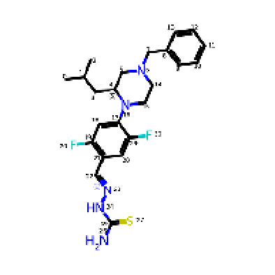 CC(C)C[C@H]1CN(Cc2ccccc2)CCN1c1cc(F)c(/C=N/NC(N)=S)cc1F